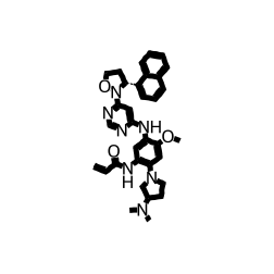 C=CC(=O)Nc1cc(Nc2cc(N3OCC[C@@H]3c3cccc4ccccc34)ncn2)c(OC)cc1N1CCC(N(C)C)C1